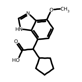 COc1ccc(C(C(=O)O)C2CCCC2)c2[nH]cnc12